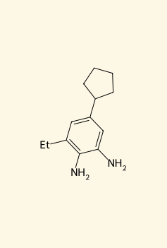 CCc1cc(C2CCCC2)cc(N)c1N